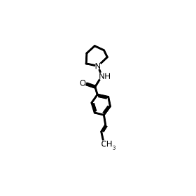 C/C=C/c1ccc(C(=O)NN2CCCCC2)cc1